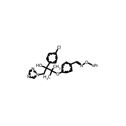 CCCON=Cc1ccc(OC(C)(C)C(O)(Cn2cncn2)c2ccc(Cl)cc2)cc1